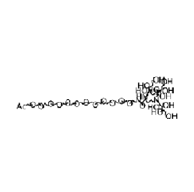 CC(=O)CCOCCOCCOCCOCCOCCOCCOCCOCCOCCOCCOCCOCCNC(=O)C(CCCN(CC(O)C(O)C(O)CCO)CC(O)C(O)C(O)CCO)NCC(O)C(O)C(O)CCO